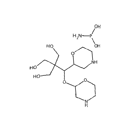 NP(O)O.OCC(CO)(CO)C(OC1CNCCO1)C1CNCCO1